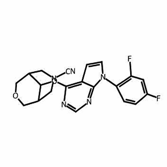 N#CN1CC2COCC(C1)C2Oc1ncnc2c1ccn2-c1ccc(F)cc1F